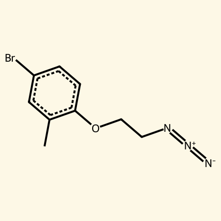 Cc1cc(Br)ccc1OCCN=[N+]=[N-]